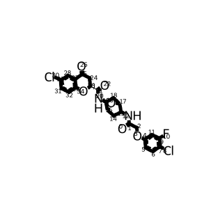 O=C(COc1ccc(Cl)c(F)c1)NC1CC2OC1CC2NC(=O)[C@H]1CC(=O)c2cc(Cl)ccc2O1